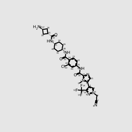 Cn1c(-c2cn(CC#N)nc2C(F)(F)F)cnc1C(=O)Nc1ccc(C(=O)N[C@H]2CC[C@@H](NC(=O)[C@H]3C[C@H](N)C3)CC2)c(Cl)c1